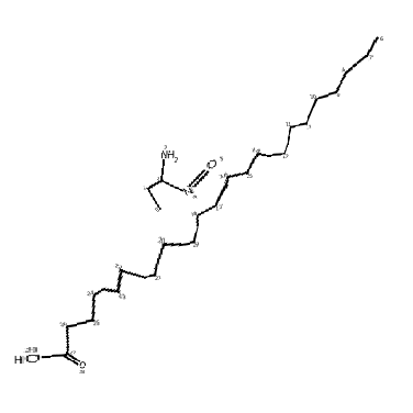 CCC(N)N=O.CCCCCCCCCCCCCCCCCCCCCC(=O)O